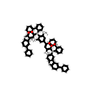 Cc1cc(-c2cc(C)c(N(c3ccc4sc5ccc(-c6ccccc6)cc5c4c3)c3ccccc3-c3ccccc3)c(C)c2)cc(C)c1N(c1ccc2sc3ccc(-c4ccccc4)cc3c2c1)c1ccccc1-c1ccccc1